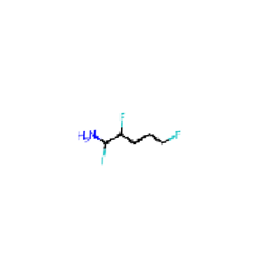 NC(F)C(F)CCCF